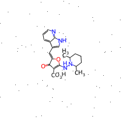 CC1CCCC(C)N1NC1=C(C(=O)O)C(=O)C(=Cc2c[nH]c3ncccc23)O1